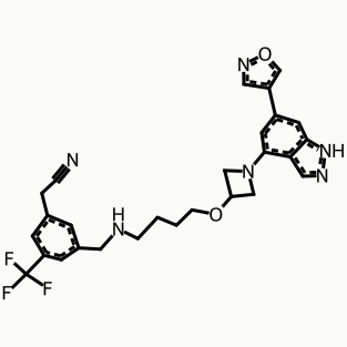 N#CCc1cc(CNCCCCOC2CN(c3cc(-c4cnoc4)cc4[nH]ncc34)C2)cc(C(F)(F)F)c1